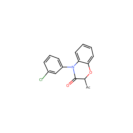 CC(=O)C1Oc2ccccc2N(c2cccc(Cl)c2)C1=O